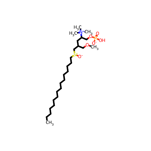 CCCCCCCCCCCCCCCC[S+]([O-])CC(COC)CC(COP(=O)([O-])O)[N+](C)(C)C